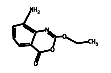 CCOc1nc2c(N)cccc2c(=O)o1